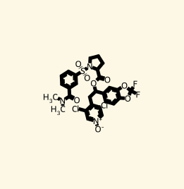 CN(C)C(=O)c1cccc(S(=O)(=O)N2CCCC2C(=O)OC(Cc2c(Cl)c[n+]([O-])cc2Cl)c2ccc3c(c2)OC(F)(F)O3)c1